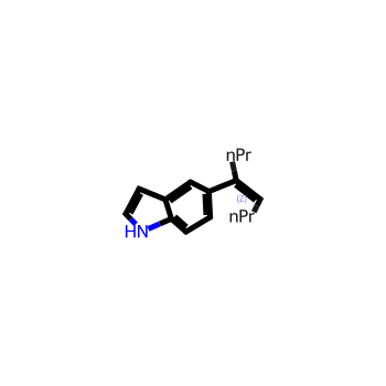 CCC/C=C(/CCC)c1ccc2[nH]ccc2c1